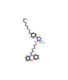 CCCCCCCCc1ccc([C@H]2CCN[C@@H]2COCCCCCN2c3ccccc3Oc3ccccc32)cc1.Cl